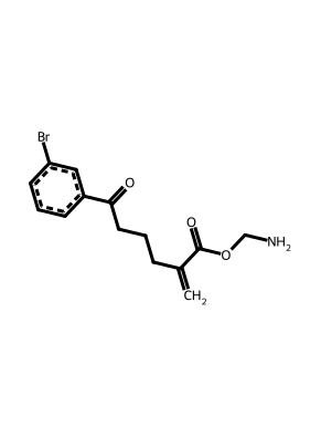 C=C(CCCC(=O)c1cccc(Br)c1)C(=O)OCN